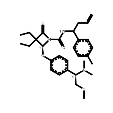 C=CCC(NC(=O)N1C(=O)C(CC)(CC)[C@@H]1Oc1ccc([C@H](COC)N(C)C)cc1)c1ccc(C)cc1